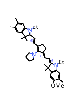 CCN1/C(=C/C=C2\CCC(/C=C/C3=[N+](CC)c4cc(C)c(C)cc4C3(C)C)=C2N2CCCC2)C(C)(C)c2cc(OC)c(C)cc21